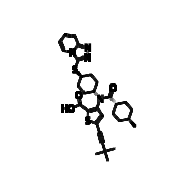 CC(C)(C)C#Cc1cc(N(C(=O)[C@H]2CC[C@H](C)CC2)[C@H]2CC[C@H](Sc3nnc4ccccn34)CC2)c(C(=O)O)s1